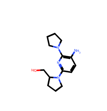 Nc1ccc(N2CCCC2CO)nc1N1CCCC1